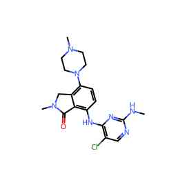 CNc1ncc(Cl)c(Nc2ccc(N3CCN(C)CC3)c3c2C(=O)N(C)C3)n1